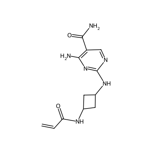 C=CC(=O)NC1CC(Nc2ncc(C(N)=O)c(N)n2)C1